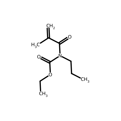 C=C(C)C(=O)N(CCC)C(=O)OCC